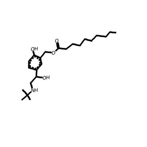 CCCCCCCCCC(=O)OCc1cc(C(O)CNC(C)(C)C)ccc1O